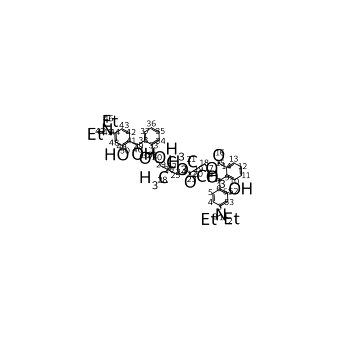 CCN(CC)c1ccc(C(=O)c2ccccc2C(=O)OCC(C)(C)C(=O)OCC(C)(C)COC(=O)c2ccccc2C(O)c2ccc(N(CC)CC)cc2O)c(O)c1